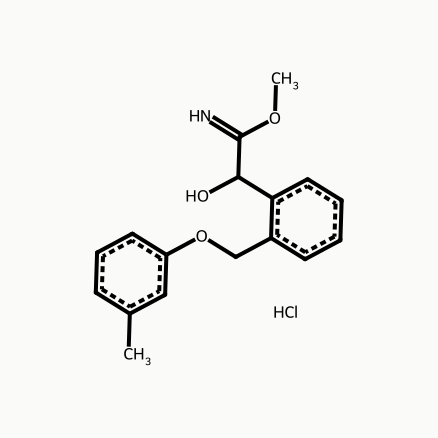 COC(=N)C(O)c1ccccc1COc1cccc(C)c1.Cl